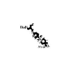 CNC/C(=C/F)COc1ccc(S(=O)(=O)N2CCC(C)(C(=O)OC)CC2)cn1